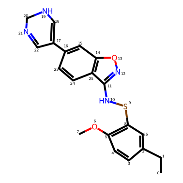 CCc1ccc(OC)c(SNc2noc3cc(C4=CNCN=C4)ccc23)c1